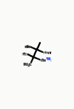 CCCCCC(C)(CCCC)C(CCCC)(CCCC)C(=O)O.N